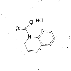 Cl.O=C(Cl)N1CC=Cc2cccnc21